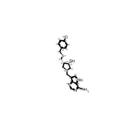 Nc1ncnc2c(CN3C[C@H](CSCc4ccc(Cl)cc4)[C@H](O)C3)c[nH]c12